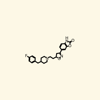 O=c1[nH]c2ccc(C3=NOC(CCN4CCC(Cc5ccc(F)cc5)CC4)C3)cc2o1